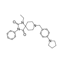 CCN1C(=O)N(c2ccccc2)C(=O)C12CCN(Cc1ccc(N3CCCC3)cc1)CC2